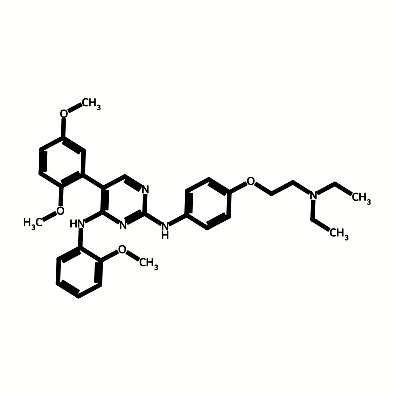 CCN(CC)CCOc1ccc(Nc2ncc(-c3cc(OC)ccc3OC)c(Nc3ccccc3OC)n2)cc1